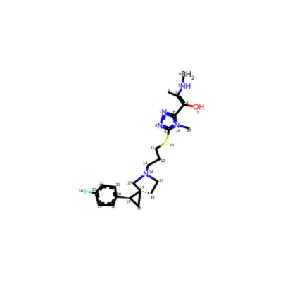 BN/C(C)=C(\O)c1nnc(SCCCN2CC[C@@]3(C[C@H]3c3ccc(F)cc3)C2)n1C